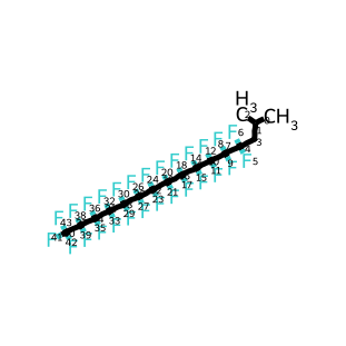 CC(C)CC(F)(F)C(F)(F)C(F)(F)C(F)(F)C(F)(F)C(F)(F)C(F)(F)C(F)(F)C(F)(F)C(F)(F)C(F)(F)C(F)(F)C(F)(F)F